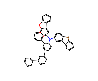 c1ccc(-c2cccc(-c3ccc(N(c4ccc5oc6ccccc6c5c4)c4ccc5sc6ccccc6c5c4)c(-c4ccccc4)c3)c2)cc1